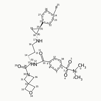 CN(C)S(=O)(=O)c1ccc(C(=O)N[C@@H](CCCN[C@@H]2C[C@H]2c2ccc(F)cc2)C(=O)N2CC3(COC3)C2)cc1